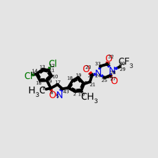 Cc1cc(C2=NOC(C)(c3cc(Cl)cc(Cl)c3)C2)ccc1CC(=O)N1CC(=O)N(CC(F)(F)F)C(=O)C1